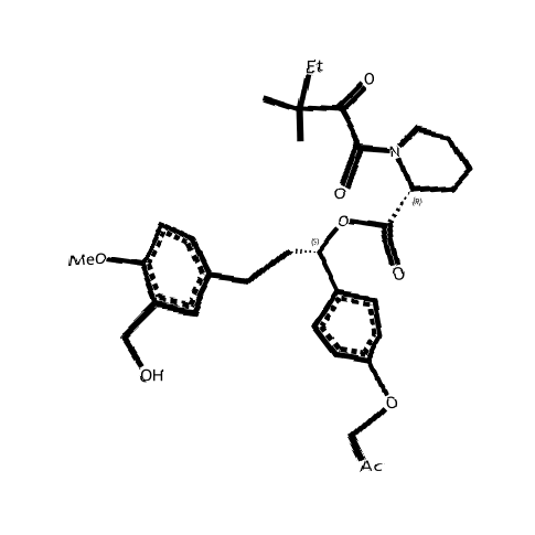 CCC(C)(C)C(=O)C(=O)N1CCCC[C@@H]1C(=O)O[C@@H](CCc1ccc(OC)c(CO)c1)c1ccc(OCC(C)=O)cc1